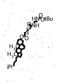 CC(C)CCCCC1CCC2C3CC=C4CC(OC(=O)CSSCC(=O)NCCNC(=O)OC(C)(C)C)CCC4(C)C3CCC12C